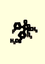 CSc1ccc(C2=C(c3cccc(F)c3)C(=O)OC2(C)C)cc1